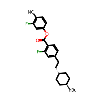 CCCC[C@H]1CC[C@H](CCc2ccc(C(=O)Oc3ccc(C#N)c(F)c3)c(F)c2)CC1